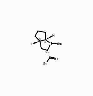 CCC(=O)[C@@H]1C[C@@H]2CCC[C@@H]2N1C(C)(C)C